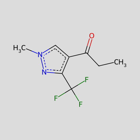 CCC(=O)c1cn(C)nc1C(F)(F)F